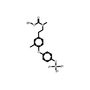 CC(C)[Si](Oc1ccc(Oc2ccc(CCN(C)C(=O)OC(C)(C)C)cc2I)cc1)(C(C)C)C(C)C